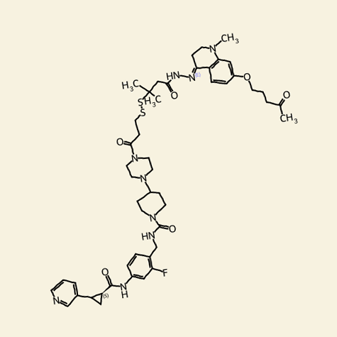 CC(=O)CCCOc1ccc2c(c1)N(C)CC/C2=N\NC(=O)CC(C)(C)SSCCC(=O)N1CCN(C2CCN(C(=O)NCc3ccc(NC(=O)[C@H]4CC4c4cccnc4)cc3F)CC2)CC1